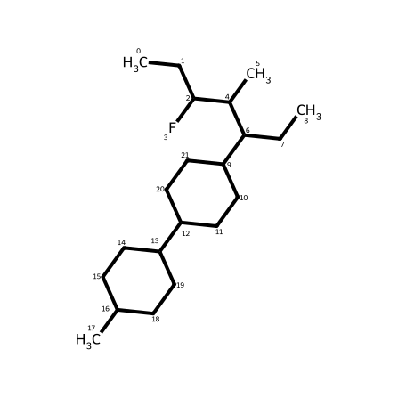 CCC(F)C(C)C(CC)C1CCC(C2CCC(C)CC2)CC1